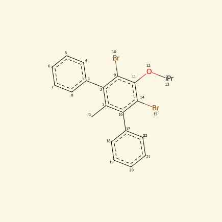 Cc1c(-c2ccccc2)c(Br)c(OC(C)C)c(Br)c1-c1ccccc1